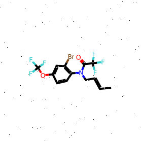 CC=CCN(C(=O)C(F)(F)F)c1ccc(OC(F)(F)F)cc1Br